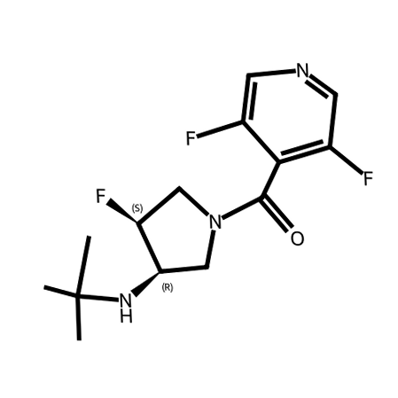 CC(C)(C)N[C@@H]1CN(C(=O)c2c(F)cncc2F)C[C@@H]1F